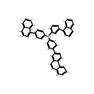 c1cc(-c2cccc3ccccc23)cc(N(c2ccc(-c3ccc4c(ccc5ccccc54)c3)cc2)c2ccc(-c3cccc4ccccc34)cc2)c1